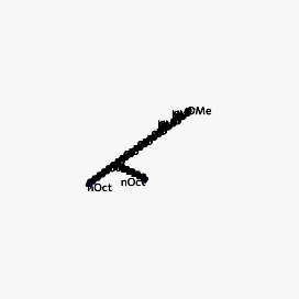 CCCCCCCC/C=C\CCCCCCCCOCC(COCCOCCOCCOCCOCCOCCOC(=O)CNCCOC(=O)CNCCOC)OCCCCCCCC/C=C\CCCCCCCC